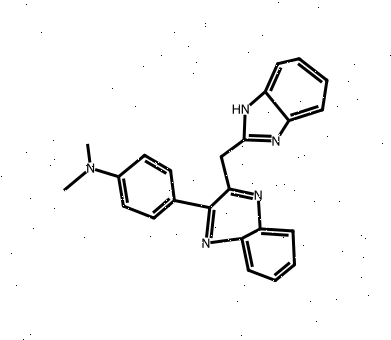 CN(C)c1ccc(-c2nc3ccccc3nc2Cc2nc3ccccc3[nH]2)cc1